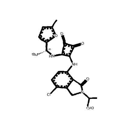 Cc1ccc([C@H](Nc2c(Nc3ccc(Cl)c4c3C(=O)N(C(C)C=O)C4)c(=O)c2=O)C(C)(C)C)o1